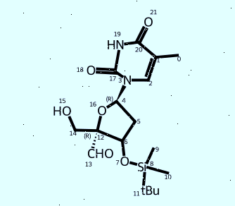 Cc1cn([C@H]2CC(O[Si](C)(C)C(C)(C)C)[C@@](C=O)(CO)O2)c(=O)[nH]c1=O